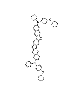 c1ccc(Oc2ccc(N(c3ccccc3)c3ccc4cc5c(cc4c3)oc3cc4c(cc35)oc3cc5cc(N(c6ccccc6)c6ccc(Oc7ccccc7)cc6)ccc5cc34)cc2)cc1